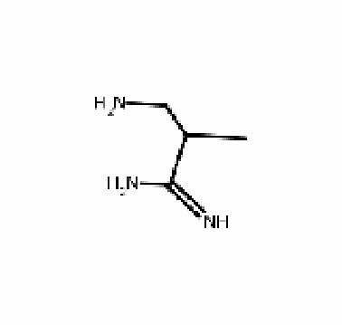 CC(CN)C(=N)N